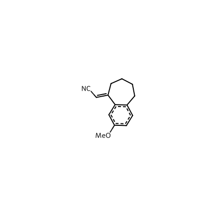 COc1ccc2c(c1)/C(=C/C#N)CCCC2